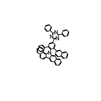 c1ccc(-c2nc(-c3ccccc3)nc(-c3cc(-c4ccccc4)c(-n4c5cc6ccccc6cc5c5ccc6ccccc6c54)c(-c4ccc5ccccc5c4)c3)n2)cc1